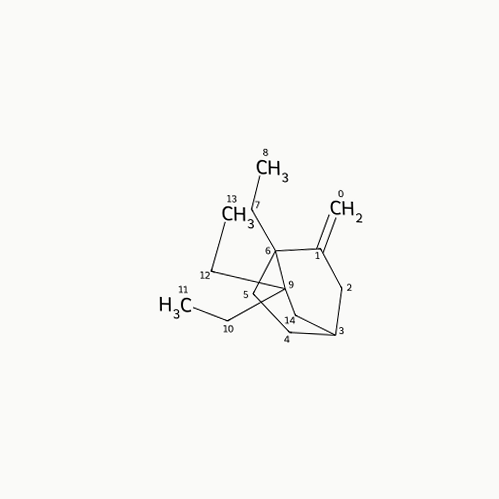 C=C1CC2CCC1(CC)C(CC)(CC)C2